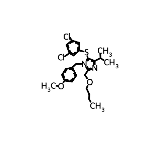 CCCCOCc1nc(C(C)C)c(Sc2cc(Cl)cc(Cl)c2)n1Cc1ccc(OC)cc1